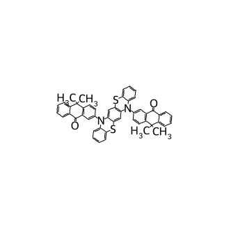 CC1(C)c2ccccc2C(=O)c2cc(-n3c4ccccc4sc4cc5c(cc43)sc3ccccc3n5-c3ccc4c(c3)C(=O)c3ccccc3C4(C)C)ccc21